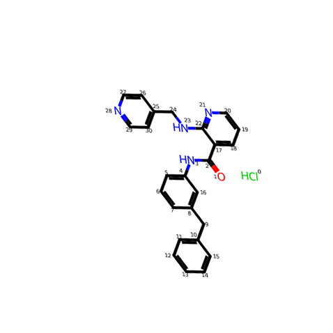 Cl.O=C(Nc1cccc(Cc2ccccc2)c1)c1cccnc1NCc1ccncc1